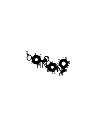 COc1ccc(C(=O)Nc2ccc(N3CCC34CCCCC4)cc2)cc1